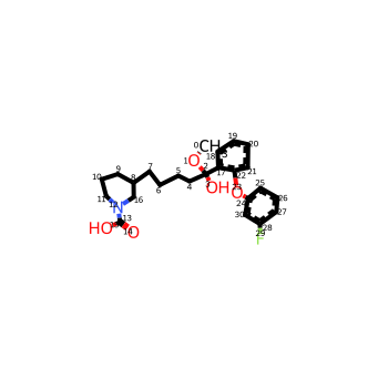 COC(O)(CCCCC1CCCN(C(=O)O)C1)c1ccccc1Oc1cccc(F)c1